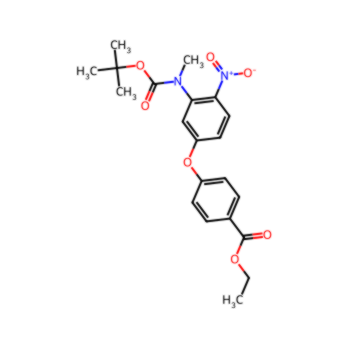 CCOC(=O)c1ccc(Oc2ccc([N+](=O)[O-])c(N(C)C(=O)OC(C)(C)C)c2)cc1